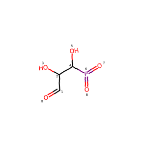 O=CC(O)C(O)P(=O)=O